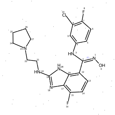 O/N=C(/Nc1ccc(F)c(Cl)c1)c1ccc(F)c2nc(NCCN3CCCC3)[nH]c12